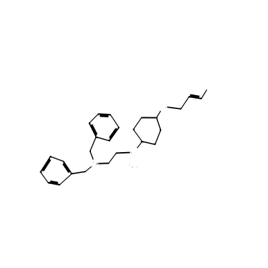 O=C([O-])/C=C/COC1CCC(OCCN(Cc2ccccc2)Cc2ccccc2)CC1.[Na+]